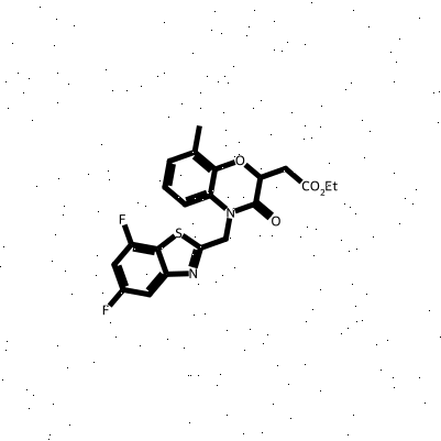 CCOC(=O)CC1Oc2c(C)cccc2N(Cc2nc3cc(F)cc(F)c3s2)C1=O